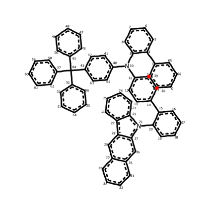 c1ccc(-c2ccccc2N(c2ccc(-c3ccccc3-n3c4ccccc4c4cc5ccccc5cc43)cc2)c2ccc(C(c3ccccc3)(c3ccccc3)c3ccccc3)cc2)cc1